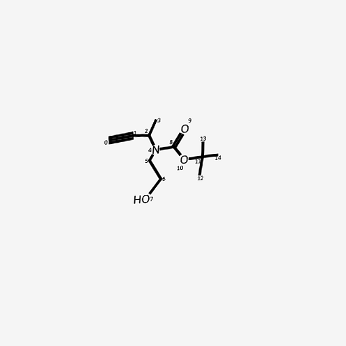 C#CC(C)N(CCO)C(=O)OC(C)(C)C